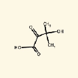 CC(C)(O)C(=O)C(=O)O